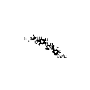 COc1ccc(-c2cnc3c(Nc4ccc(C(=O)N[C@H](C)CN)c(C)c4)nccn23)c(F)c1F